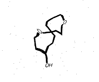 OC1CCOC2(CCOC2)C1